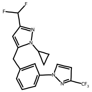 FC(F)c1cc(Cc2cccc(-n3ccc(C(F)(F)F)n3)c2)n(C2CC2)n1